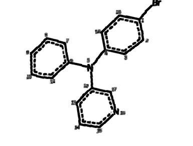 Brc1ccc(N(c2ccccc2)c2cccnc2)cc1